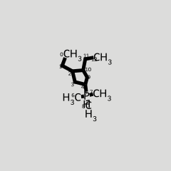 CCC1CC([PH](C)(C)C)CC1CC